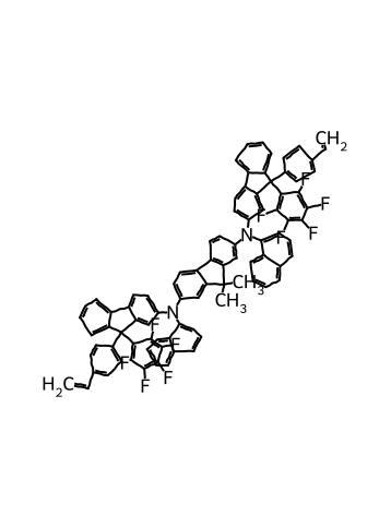 C=Cc1ccc(C2(c3c(F)c(F)c(F)c(F)c3F)c3ccccc3-c3ccc(N(c4ccc5c(c4)C(C)(C)c4cc(N(c6ccc7c(c6)C(c6ccc(C=C)cc6)(c6c(F)c(F)c(F)c(F)c6F)c6ccccc6-7)c6cccc7ccccc67)ccc4-5)c4cccc5ccccc45)cc32)cc1